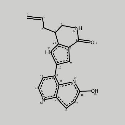 C=CCC1CNC(=O)c2cc(-c3ccnc4ccc(O)nc34)[nH]c21